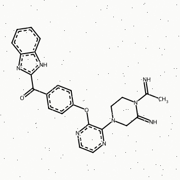 CC(=N)N1CCN(c2nccnc2Oc2ccc(C(=O)c3nc4ccccc4[nH]3)cc2)CC1=N